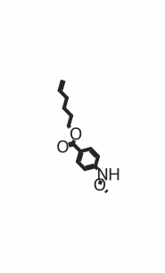 C=CCCCCOC(=O)c1ccc(NOC)cc1